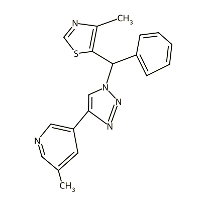 Cc1cncc(-c2cn(C(c3ccccc3)c3scnc3C)nn2)c1